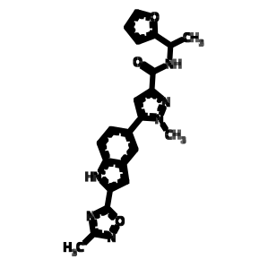 Cc1noc(-c2cc3cc(-c4cc(C(=O)NC(C)c5ccco5)nn4C)ccc3[nH]2)n1